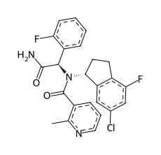 Cc1ncccc1C(=O)N([C@@H]1CCc2c(F)cc(Cl)cc21)[C@@H](C(N)=O)c1ccccc1F